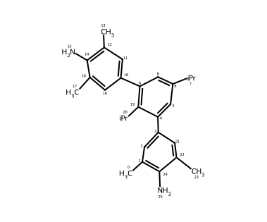 Cc1cc(-c2cc(C(C)C)cc(-c3cc(C)c(N)c(C)c3)c2C(C)C)cc(C)c1N